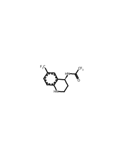 O=C(N[C@H]1CCNc2ccc(C(F)(F)F)cc21)C(F)(F)F